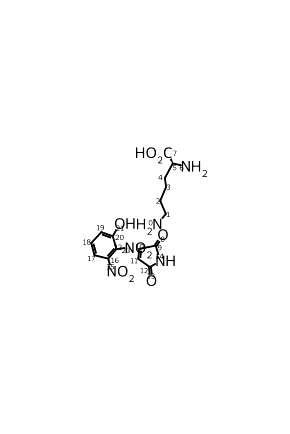 NCCCC[C@H](N)C(=O)O.O=C1C=CC(=O)N1.O=[N+]([O-])c1cccc(O)c1[N+](=O)[O-]